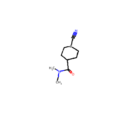 CN(C)C(=O)C1CCB(C#N)CC1